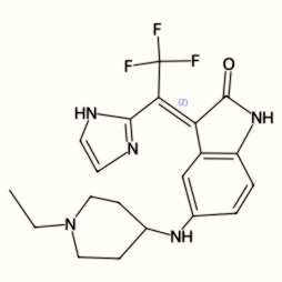 CCN1CCC(Nc2ccc3c(c2)/C(=C(\c2ncc[nH]2)C(F)(F)F)C(=O)N3)CC1